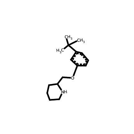 CC(C)(C)c1cccc(OCC2CCCCN2)c1